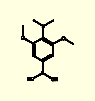 COc1cc(B(O)O)cc(OC)c1N(C)C